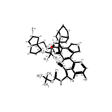 CC(C)(C)OC(=O)Nc1sc2c(F)cnc(-c3c4c(c5c(N6C7CCC6CN(C(=O)OC(C)(C)C)C7)nc(OC[C@@]67CCCN6C[C@H](F)C7)nc5c3F)COC4)c2c1C#N